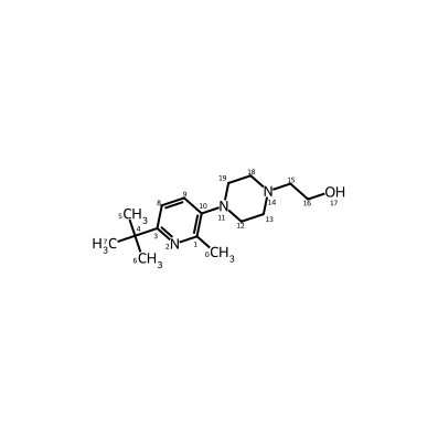 Cc1nc(C(C)(C)C)ccc1N1CCN(CCO)CC1